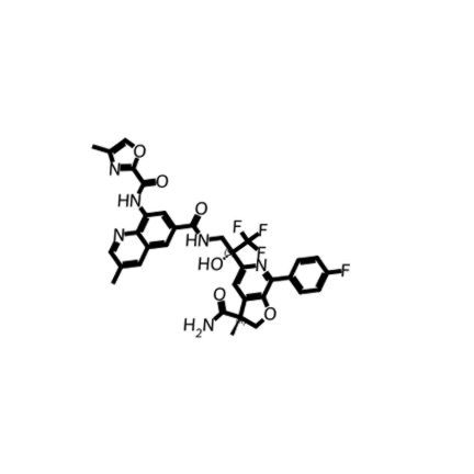 Cc1cnc2c(NC(=O)c3nc(C)co3)cc(C(=O)NC[C@](O)(c3cc4c(c(-c5ccc(F)cc5)n3)OC[C@]4(C)C(N)=O)C(F)(F)F)cc2c1